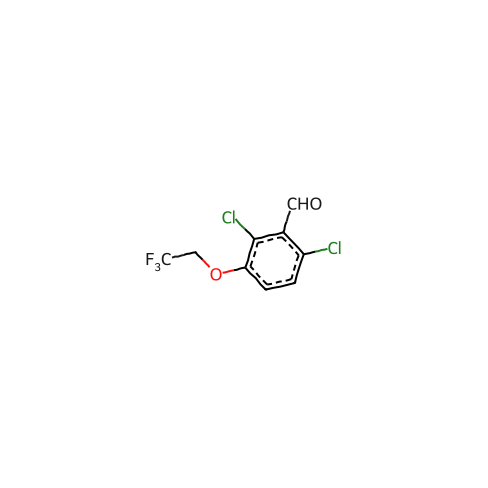 O=Cc1c(Cl)ccc(OCC(F)(F)F)c1Cl